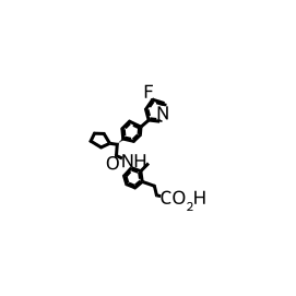 Cc1c(CCC(=O)O)cccc1NC(=O)[C@@H](c1ccc(-c2cncc(F)c2)cc1)C1CCCC1